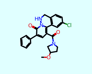 COC1CCN(C(=O)c2cc(-c3ccccc3)c(=O)n3c2-c2cc(Cl)ccc2CN3)C1